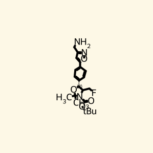 CC(C)(C)OC(=O)N1C(CF)[C@@H](c2ccc(-c3cc(CN)no3)cc2)OC1(C)C